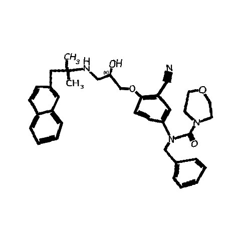 CC(C)(Cc1ccc2ccccc2c1)NC[C@@H](O)COc1ccc(N(Cc2ccccc2)C(=O)N2CCOCC2)cc1C#N